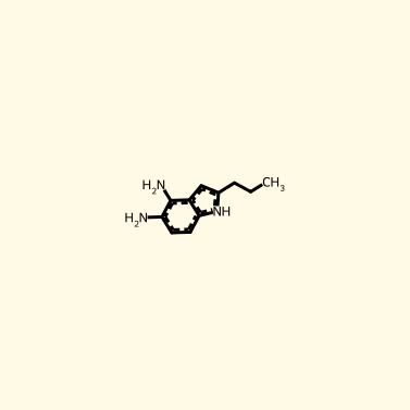 CCCc1cc2c(N)c(N)ccc2[nH]1